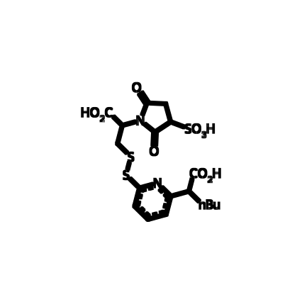 CCCCC(C(=O)O)c1cccc(SSCC(C(=O)O)N2C(=O)CC(S(=O)(=O)O)C2=O)n1